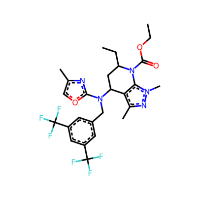 CCOC(=O)N1c2c(c(C)nn2C)C(N(Cc2cc(C(F)(F)F)cc(C(F)(F)F)c2)c2nc(C)co2)CC1CC